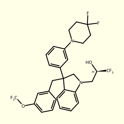 O[C@H](CN1CC(Cc2cccc(OC(F)(F)F)c2)(c2cccc(N3CCC(F)(F)CC3)c2)c2ccccc21)C(F)(F)F